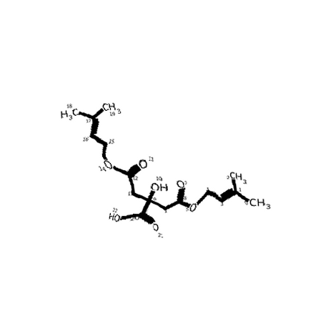 CC(C)=CCOC(=O)CC(O)(CC(=O)OCC=C(C)C)C(=O)O